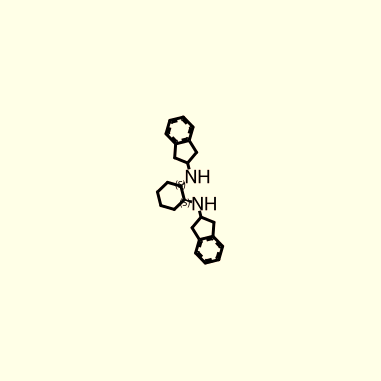 c1ccc2c(c1)CC(N[C@H]1CCCC[C@@H]1NC1Cc3ccccc3C1)C2